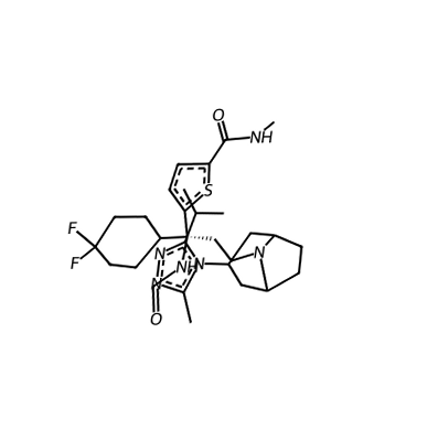 CNC(=O)c1ccc([C@@](CCN2C3CCC2CC(n2c(C)nnc2C(C)C)C3)(NC=O)C2CCC(F)(F)CC2)s1